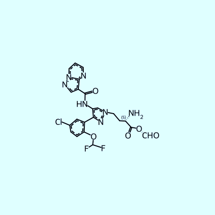 N[C@@H](CCn1cc(NC(=O)c2cnn3cccnc23)c(-c2cc(Cl)ccc2OC(F)F)n1)C(=O)OC=O